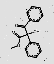 COC(=O)C(O)(C(=O)c1ccccc1)c1ccccc1